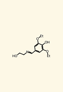 CCOc1cc(C=NCCO)cc(OCC)c1O